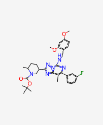 COc1ccc(CNc2nc(-c3cccc(F)c3)c(C)c3nc(C4CCC(C)N(C(=O)OC(C)(C)C)C4)nn23)c(OC)c1